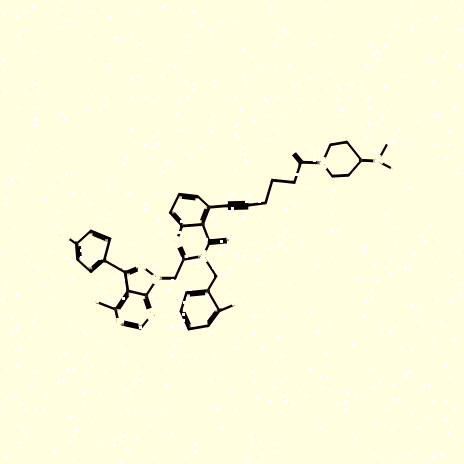 CN(C)C1CCN(C(=O)CCCC#Cc2cccc3nc(Cn4nc(-c5ccc(O)cc5)c5c(N)ncnc54)n(Cc4ccccc4Cl)c(=O)c23)CC1